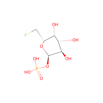 O=P(O)(O)O[C@H]1O[C@H](CF)[C@H](O)[C@H](O)[C@H]1O